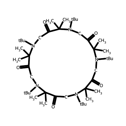 CC(C)(C)N1CC(=O)C(C)(C)N(C(C)(C)C)CC(=O)C(C)(C)N(C(C)(C)C)CC(=O)C(C)(C)N(C(C)(C)C)CC(=O)C(C)(C)N(C(C)(C)C)CC(=O)C1(C)C